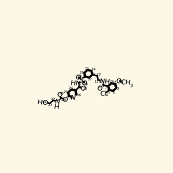 COc1ccc(Cl)c(C(=O)NCCc2cccc(S(=O)(=O)NC(=O)c3ccc(OC(=O)NCCO)nc3)c2)c1